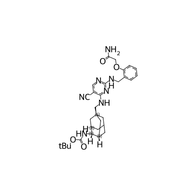 CC(C)(C)OC(=O)N[C@@H]1[C@@H]2CC3C[C@H]1C[C@@](CNc1nc(NCc4ccccc4OCC(N)=O)ncc1C#N)(C3)C2